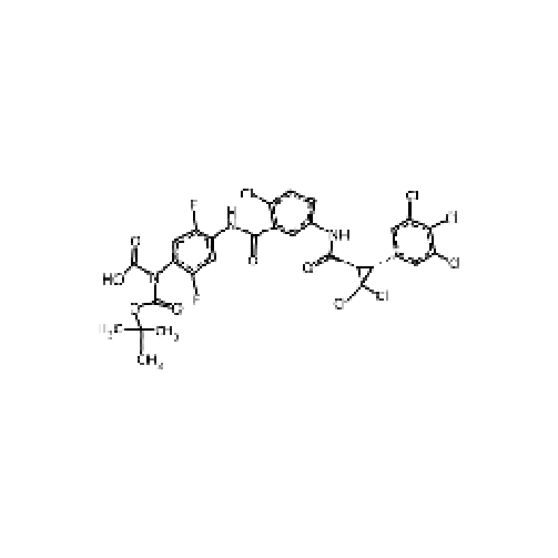 CC(C)(C)OC(=O)N(C(=O)O)c1cc(F)c(NC(=O)c2cc(NC(=O)[C@H]3[C@H](c4cc(Cl)c(Cl)c(Cl)c4)C3(Cl)Cl)ccc2Cl)cc1F